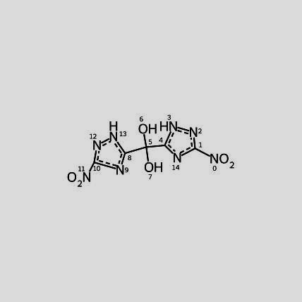 O=[N+]([O-])c1n[nH]c(C(O)(O)c2nc([N+](=O)[O-])n[nH]2)n1